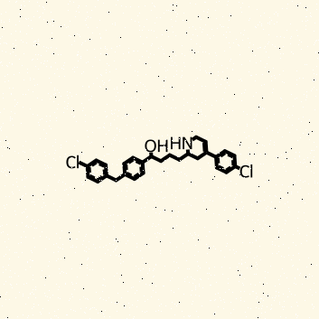 OC(CCCC1CC(c2ccc(Cl)cc2)=CCN1)c1ccc(Cc2ccc(Cl)cc2)cc1